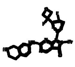 CC(C)n1c(=O)c2cnc(Nc3ccc4c(c3)CNCC4)nc2n1-c1ccc(F)c(C2(F)COC2)n1